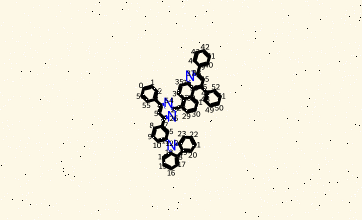 c1ccc(-c2cc(-c3cccc(-n4c5ccccc5c5ccccc54)c3)nc(-c3cccc4c3ccc3nc(-c5ccccc5)cc(-c5ccccc5)c34)n2)cc1